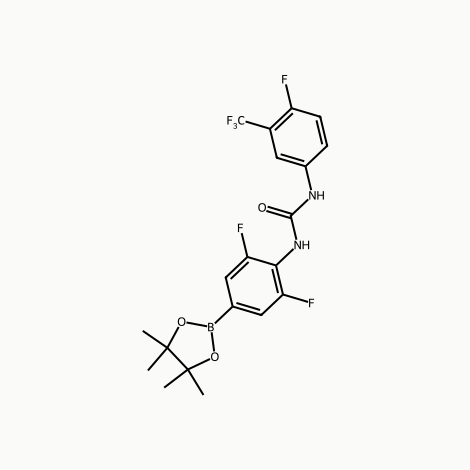 CC1(C)OB(c2cc(F)c(NC(=O)Nc3ccc(F)c(C(F)(F)F)c3)c(F)c2)OC1(C)C